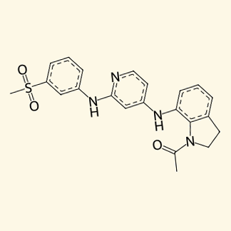 CC(=O)N1CCc2cccc(Nc3ccnc(Nc4cccc(S(C)(=O)=O)c4)c3)c21